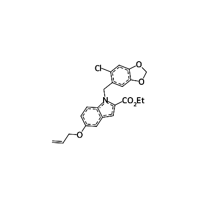 C=CCOc1ccc2c(c1)cc(C(=O)OCC)n2Cc1cc2c(cc1Cl)OCO2